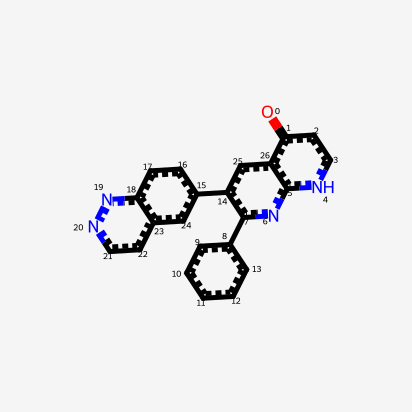 O=c1cc[nH]c2nc(-c3ccccc3)c(-c3ccc4nnccc4c3)cc12